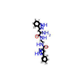 N[C@@H](Cc1n[nH]c2ccccc12)C(=O)NCCNC(=O)c1cc(-c2ccccc2)[nH]n1